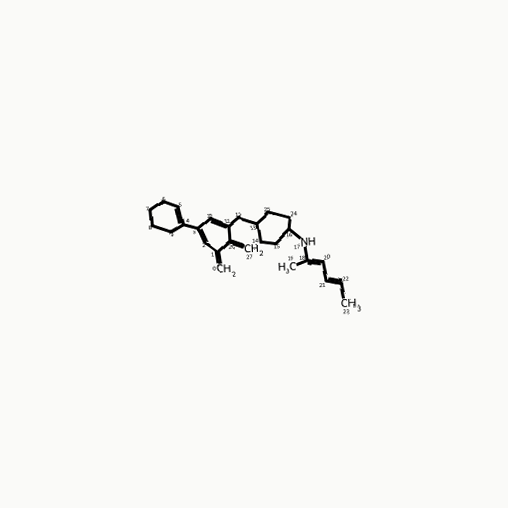 C=c1cc(C2=CCCCC2)cc(CC2CCC(N/C(C)=C/C=C/C)CC2)c1=C